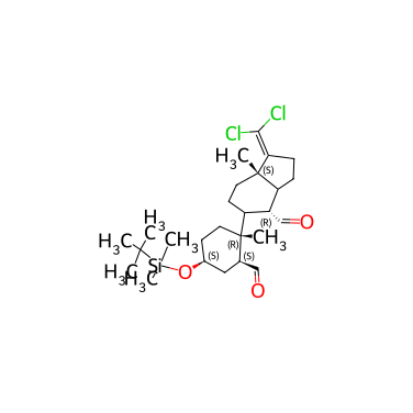 CC(C)(C)[Si](C)(C)O[C@H]1CC[C@](C)(C2CC[C@]3(C)C(=C(Cl)Cl)CCC3[C@@H]2C=O)[C@@H](C=O)C1